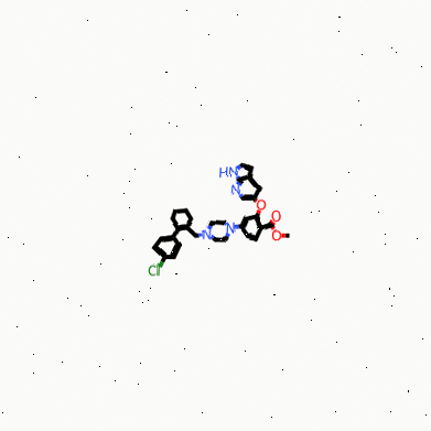 COC(=O)c1ccc(N2CCN(CC3=C(c4ccc(Cl)cc4)CCCC3)CC2)cc1Oc1cnc2[nH]ccc2c1